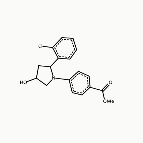 COC(=O)c1ccc(N2CC(O)CC2c2ccccc2Cl)cc1